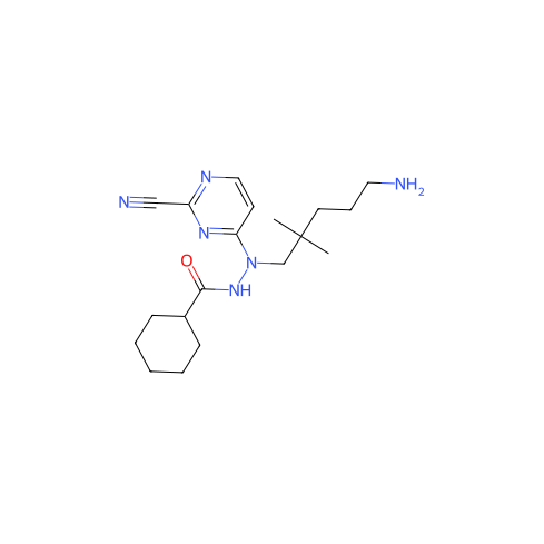 CC(C)(CCCN)CN(NC(=O)C1CCCCC1)c1ccnc(C#N)n1